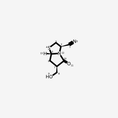 N#C[C@@H]1CS[C@H]2C[C@H](CO)C(=O)N12